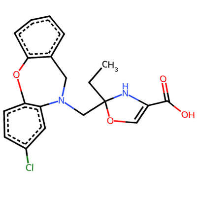 CCC1(CN2Cc3ccccc3Oc3ccc(Cl)cc32)NC(C(=O)O)=CO1